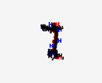 CCn1c(-c2nonc2N)nc2c(C#CC(C)(C)O)ncc(OCCCNCCCC(=O)NCCOCCOCCC(=O)N[C@H](C(=O)N3C[C@H](O)C[C@H]3C(=O)NCc3ccc(-c4scnc4C)cc3)C(C)(C)C)c21